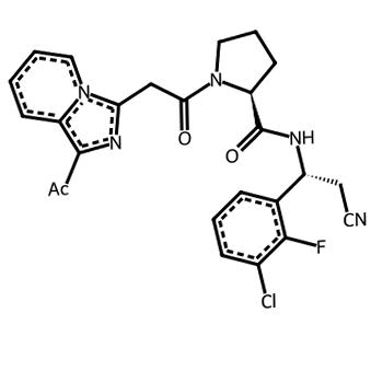 CC(=O)c1nc(CC(=O)N2CCC[C@H]2C(=O)N[C@H](CC#N)c2cccc(Cl)c2F)n2ccccc12